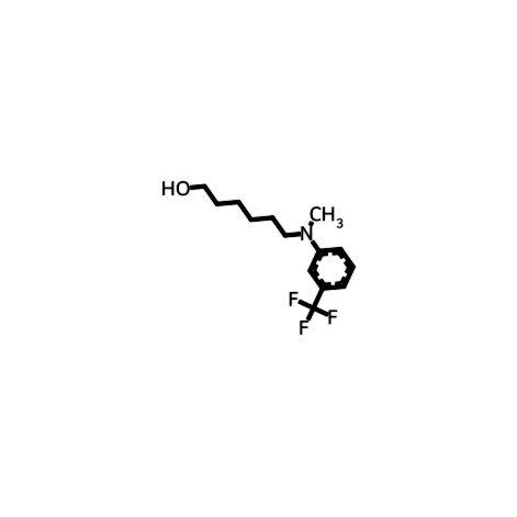 CN(CCCCCCO)c1cccc(C(F)(F)F)c1